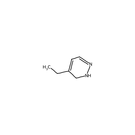 CCC1=CC=NNC1